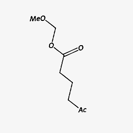 COCOC(=O)CCCC(C)=O